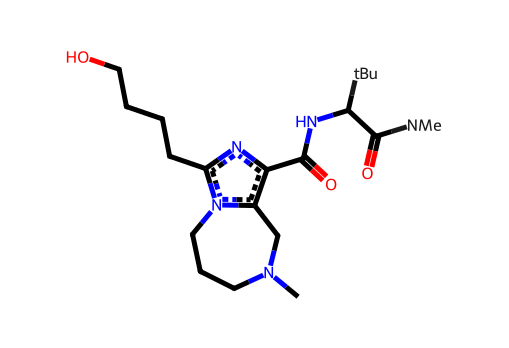 CNC(=O)C(NC(=O)c1nc(CCCCO)n2c1CN(C)CCC2)C(C)(C)C